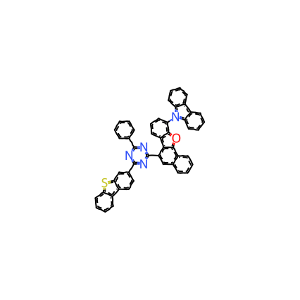 c1ccc(-c2nc(-c3ccc4c(c3)sc3ccccc34)nc(-c3cc4ccccc4c4oc5c(-n6c7ccccc7c7ccccc76)cccc5c34)n2)cc1